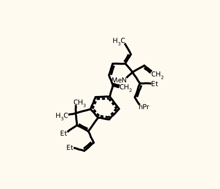 C=CC(NC)(C(/C=C\C(=C)c1ccc2c(c1)C(C)(C)C(CC)=C2/C=C\CC)=C/C)/C(=C/CCC)CC